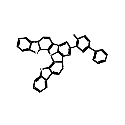 Cc1ccc(-c2ccccc2)cc1-c1cc2c3c(c1)c1c(n3C3=c4oc5ccccc5c4=CCC32)C2Oc3ccccc3C2C=C1